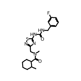 CC1CCCCC1C(=O)N(C)Cc1nsc(NC(=O)NCc2cccc(F)c2)n1